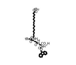 CC(C)(C)OC(=O)CCCCCCCCCCCCCCCCC(=O)N[C@@H](CCC(=O)NC[C@H](NC(=O)OCC1c2ccccc2-c2ccccc21)C(=O)O)C(=O)OC(C)(C)C